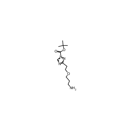 CC(C)(C)OC(=O)n1cnc(CCOCCCN)n1